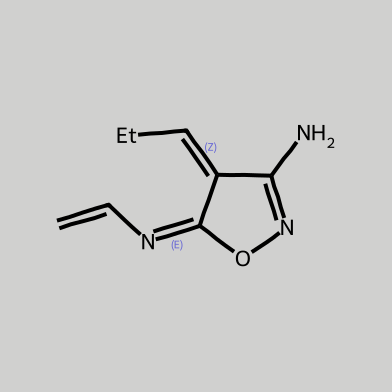 C=C/N=C1/ON=C(N)/C1=C/CC